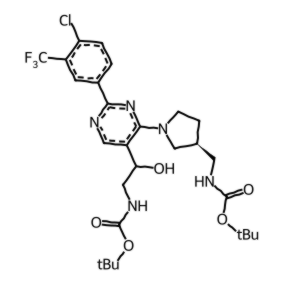 CC(C)(C)OC(=O)NCC(O)c1cnc(-c2ccc(Cl)c(C(F)(F)F)c2)nc1N1CC[C@@H](CNC(=O)OC(C)(C)C)C1